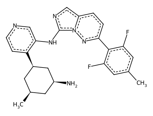 Cc1cc(F)c(-c2ccc3cnc(Nc4cnccc4[C@@H]4C[C@H](C)C[C@H](N)C4)n3n2)c(F)c1